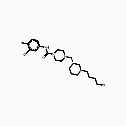 O=C(Nc1ccc(Cl)c(Cl)c1)N1CCN(C[C@@H]2CCCN(CCCCO)C2)CC1